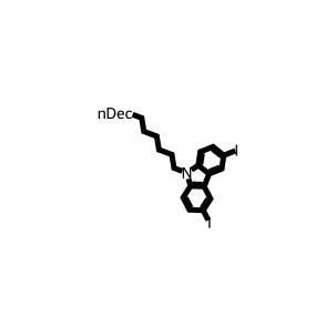 CCCCCCCCCCCCCCCCn1c2ccc(I)cc2c2cc(I)ccc21